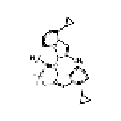 CC1=Cc2c(C3CC3)cccc2[CH]1[Zr]([CH]1C(C)=Cc2c(C3CC3)cccc21)=[Si](C)C